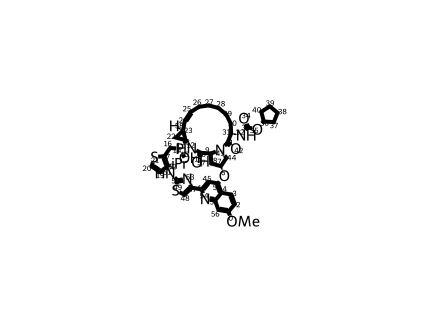 COc1ccc2c(O[C@@H]3C[C@H]4C(=O)N[C@]5(P(O)Cc6cccs6)C[C@H]5/C=C\CCCCC[C@H](NC(=O)OC5CCCC5)C(=O)N4C3)cc(-c3csc(NC(C)C)n3)nc2c1